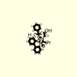 CC(C)C(N(CCO)OC(C)(C)c1ccccc1)P1(=O)Oc2ccccc2-c2ccccc21